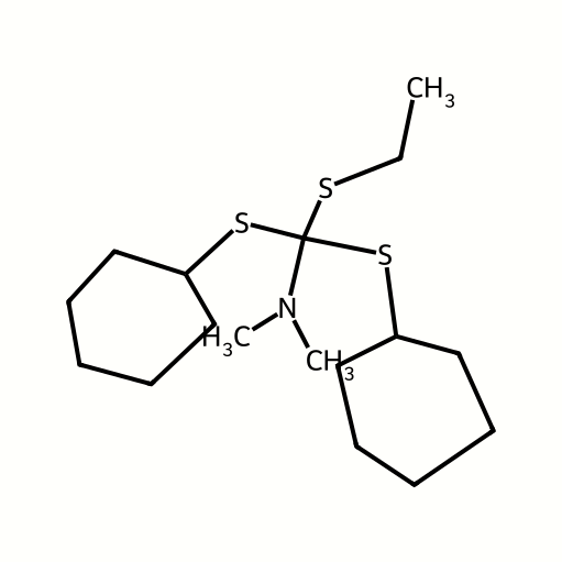 CCSC(SC1CCCCC1)(SC1CCCCC1)N(C)C